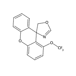 FC(F)(F)Oc1cccc2c1C1(COC=N1)c1ccccc1O2